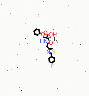 CC(COc1ccccc1)(NC(=O)Cc1csc(-c2ccc(F)cc2)n1)C(=O)O